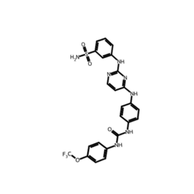 NS(=O)(=O)c1cccc(Nc2nccc(Nc3ccc(NC(=O)Nc4ccc(OC(F)(F)F)cc4)cc3)n2)c1